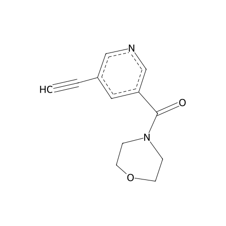 C#Cc1cncc(C(=O)N2CCOCC2)c1